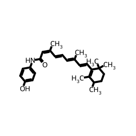 CC1=C(/C=C/C(C)=C/C=C/C(C)=C\C(=O)Nc2ccc(O)cc2)C(C)(C)CCC1C